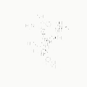 Cc1nc(-c2ccc3c(c2)OCCC3(C)C)nc(C)c1C(=O)NC(CCN)C(=O)N(C)C1C(=O)NC(C)C(=O)NC(C(=O)NCC#N)Cc2ccc(OCCN)c(c2)-c2cc1ccc2OCCN